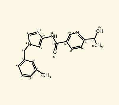 Cc1cccc(Cn2cnc(NC(=O)c3ccc(C(C)O)nc3)c2)c1